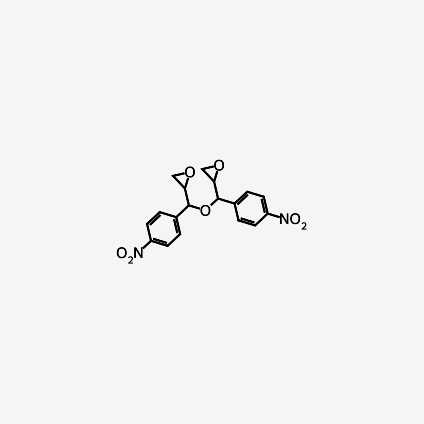 O=[N+]([O-])c1ccc(C(OC(c2ccc([N+](=O)[O-])cc2)C2CO2)C2CO2)cc1